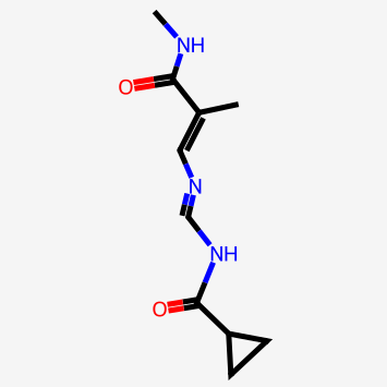 CNC(=O)/C(C)=C/N=C/NC(=O)C1CC1